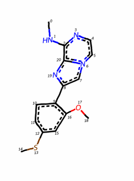 CNc1nccn2cc(-c3ccc(SC)cc3OC)nc12